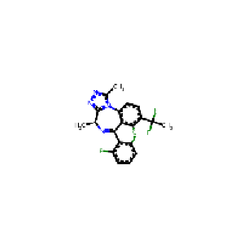 Cc1nnc2n1-c1ccc(C(C)(F)F)c(Cl)c1C(c1c(F)cccc1F)=N[C@H]2C